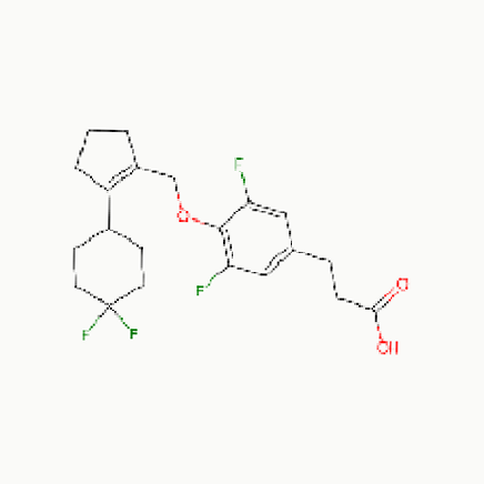 O=C(O)CCc1cc(F)c(OCC2=C(C3CCC(F)(F)CC3)CCC2)c(F)c1